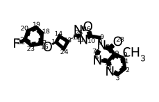 Cc1ccnc2ncn(Cc3nc([C@H]4C[C@H](Oc5cccc(F)c5)C4)no3)c(=O)c12